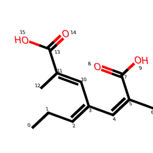 CCC=C(C=C(C)C(=O)O)C=C(C)C(=O)O